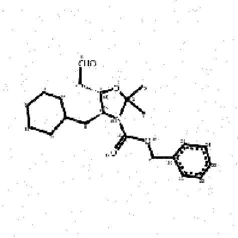 CC1(C)O[C@@H](CC=O)[C@H](CC2CCCCC2)N1C(=O)OCc1ccccc1